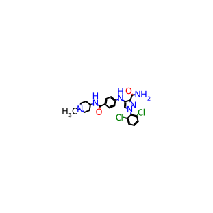 CN1CCC(NC(=O)c2ccc(Nc3cn(-c4c(Cl)cccc4Cl)nc3C(N)=O)cc2)CC1